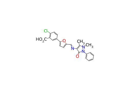 Cc1c(N=Cc2ccc(-c3ccc(Cl)c(C(=O)O)c3)o2)c(=O)n(-c2ccccc2)n1C